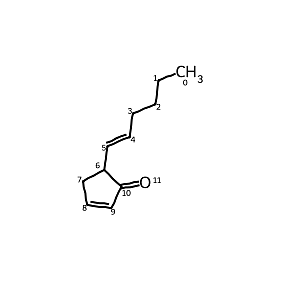 CCCCC=CC1CC=CC1=O